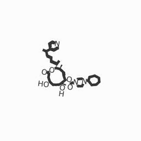 C/C(=C\C=C\C(C)c1ccncc1)[C@H]1OC(=O)C[C@H](O)CC[C@@](C)(O)[C@@H](OC(=O)N2CCN(C3CCCCCC3)CC2)/C=C/[C@@H]1C